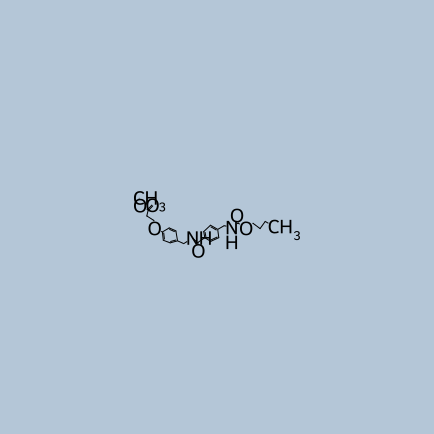 CCCCOC(=O)NCc1ccc(C(=O)NCc2ccc(OCCC(=O)OC)cc2)cc1